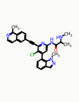 CNC(C)C(=O)Nc1cc(-c2cccc3cnn(C)c23)c(Cl)c(C#Cc2ccc3c(C)nccc3c2)n1